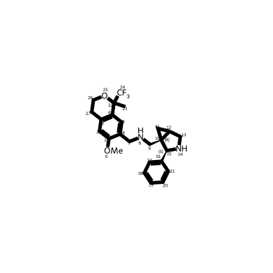 COc1cc2c(cc1CNC[C@@]13CC1CN[C@H]3c1ccccc1)C(C)(C(F)(F)F)OCC2